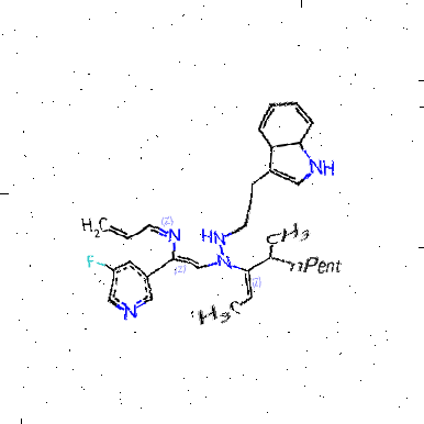 C=C/C=N\C(=C/N(NCCC1=CNC2C=CC=CC12)/C(=C\C)C(C)CCCCC)c1cncc(F)c1